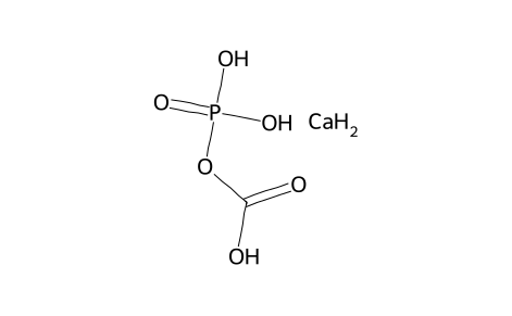 O=C(O)OP(=O)(O)O.[CaH2]